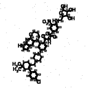 CC1(C)CCC(CN2CCN(c3ccc(C(=O)NS(=O)(=O)c4ccc(NCC5OC(O)C(O)C5O)c([N+](=O)[O-])c4)c(N4CCCOc5nc6[nH]ccc6cc54)c3)CC2)=C(c2ccc(Cl)cc2)C1